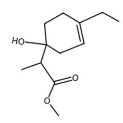 CCC1=CCC(O)(C(C)C(=O)OC)CC1